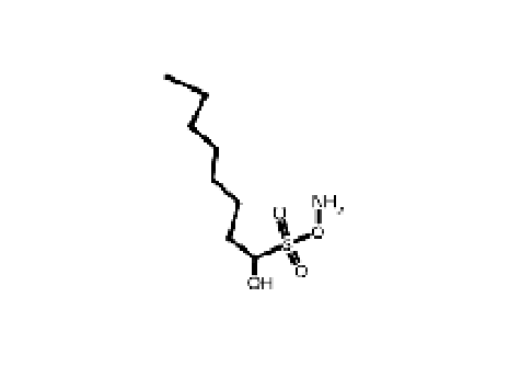 CCCCCCCC(O)S(=O)(=O)ON